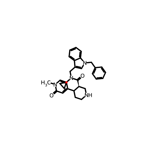 Cn1ccc(C2CCNC[C@@H]2C(=O)N(Cc2cn(Cc3ccccc3)c3ccccc23)C2CC2)cc1=O